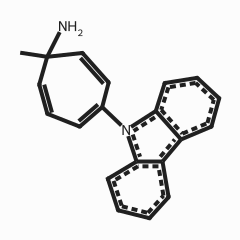 CC1(N)C=CC=C(n2c3ccccc3c3ccccc32)C=C1